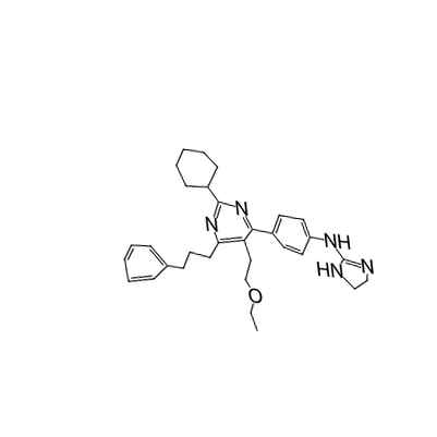 CCOCCc1c(CCCc2ccccc2)nc(C2CCCCC2)nc1-c1ccc(NC2=NCCN2)cc1